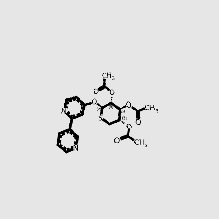 CC(=O)O[C@@H]1[C@@H](OC(C)=O)[C@H](OC(C)=O)CS[C@H]1Oc1ccnc(-c2cccnc2)c1